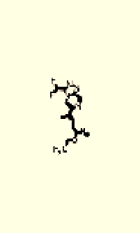 C=N/C(=C\C=C(/C)c1cn2c(C(F)F)nnc2cn1)OCC(F)(F)F